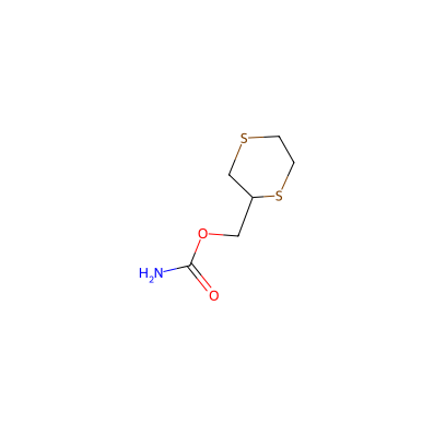 NC(=O)OCC1CSCCS1